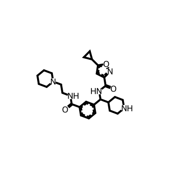 O=C(NCCN1CCCCC1)c1cccc(C(NC(=O)c2cc(C3CC3)on2)C2CCNCC2)c1